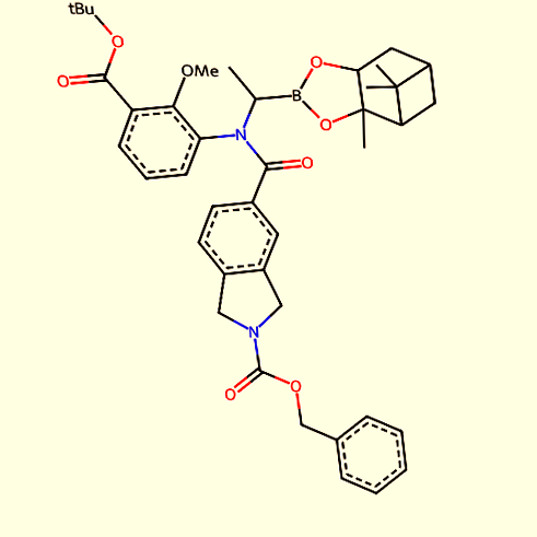 COc1c(C(=O)OC(C)(C)C)cccc1N(C(=O)c1ccc2c(c1)CN(C(=O)OCc1ccccc1)C2)C(C)B1OC2CC3CC(C3(C)C)C2(C)O1